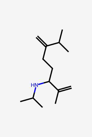 C=C(CCC(NC(C)C)C(=C)C)C(C)C